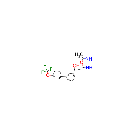 CC(=N)OC(=N)CC(O)c1cccc(-c2ccc(OC(F)(F)F)cc2)c1